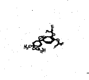 CC1(C(=O)O)CCC(C#N)(c2ccc(OC(F)F)c(OC(F)F)c2)CC1